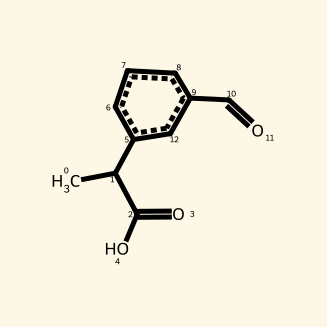 CC(C(=O)O)c1cccc(C=O)c1